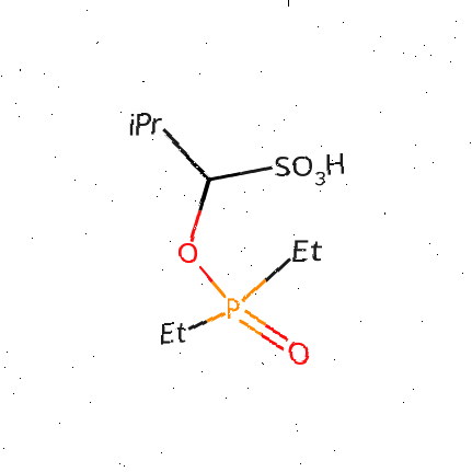 CCP(=O)(CC)OC(C(C)C)S(=O)(=O)O